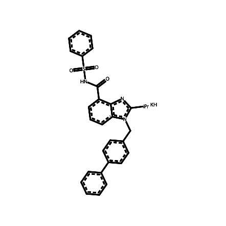 CC(C)c1nc2c(C(=O)NS(=O)(=O)c3ccccc3)cccc2n1Cc1ccc(-c2ccccc2)cc1.[KH]